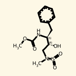 COC(=O)N[C@@H](Cc1ccccc1)[C@H](O)CN(C)[SH](=O)=O